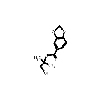 CC(C)(CO)NC(=O)c1ccc2c(c1)OCO2